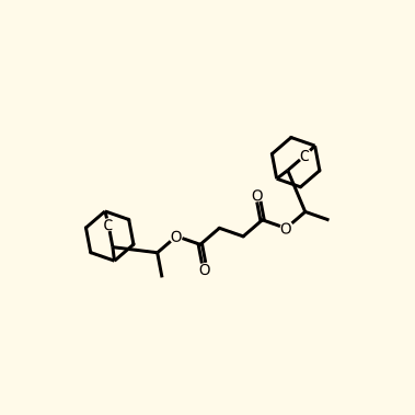 CC(OC(=O)CCC(=O)OC(C)C1CC2CCC1CC2)C1CC2CCC1CC2